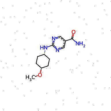 CO[C@H]1CC[C@H](Nc2ncc(C(N)=O)cn2)CC1